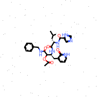 CC(=O)OC(C(=O)NCc1ccccc1)[C@H](Cc1ccc[nH]c1=O)NC(=O)[C@H](CC(C)C)NC(=O)c1cnc[nH]1